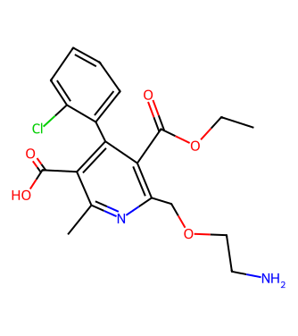 CCOC(=O)c1c(COCCN)nc(C)c(C(=O)O)c1-c1ccccc1Cl